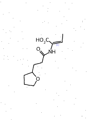 C/C=C(/NC(=O)CCC1CCCO1)C(=O)O